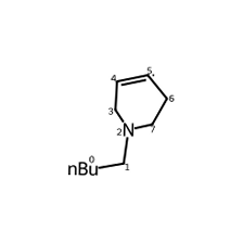 CCCCCN1CC=[C]CC1